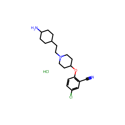 Cl.N#Cc1cc(Cl)ccc1OC1CCN(CCC2CCC(N)CC2)CC1